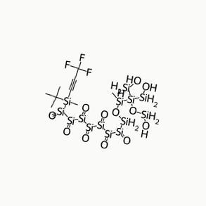 C[SiH](O[SiH2][Si](=O)[Si](=O)[Si](=O)[Si](=O)[Si](=O)[Si](=O)[Si](=O)[Si](C)(C#CC(F)(F)F)C(C)(C)C)[Si](O[SiH2]O)([SiH2]O)[SiH2]O